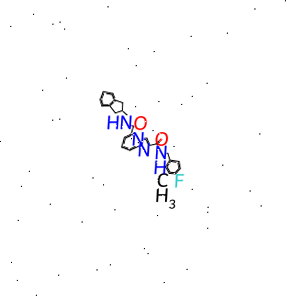 Cc1cc(CNC(=O)c2cn3c(C(=O)NCC4Cc5ccccc5C4)cccc3n2)ccc1F